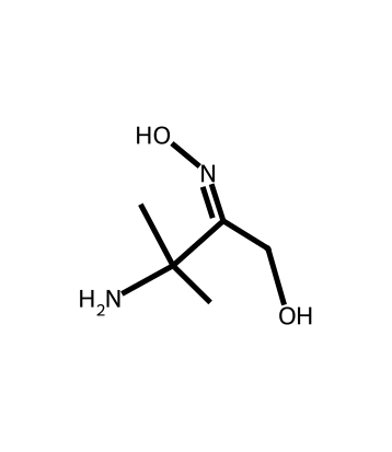 CC(C)(N)/C(CO)=N\O